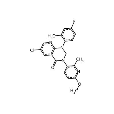 COc1ccc(N2CN(c3ccc(F)cc3C)c3ncc(Cl)cc3C2=O)c(C)n1